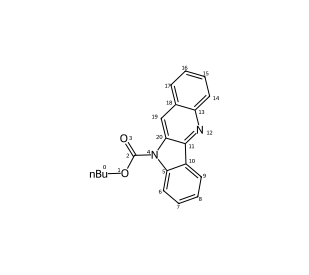 CCCCOC(=O)n1c2ccccc2c2nc3ccccc3cc21